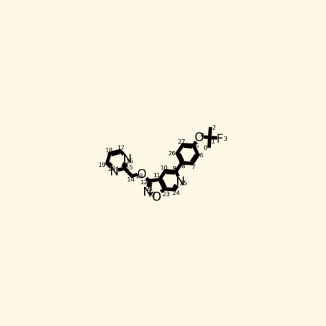 CC(C)(F)Oc1ccc(-c2cc3c(OCc4ncccn4)noc3cn2)cc1